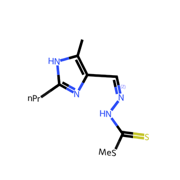 CCCc1nc(/C=N\NC(=S)SC)c(C)[nH]1